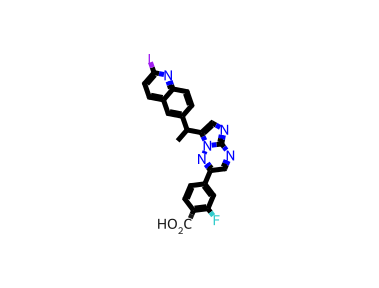 CC(c1ccc2nc(I)ccc2c1)c1cnc2ncc(-c3ccc(C(=O)O)c(F)c3)nn12